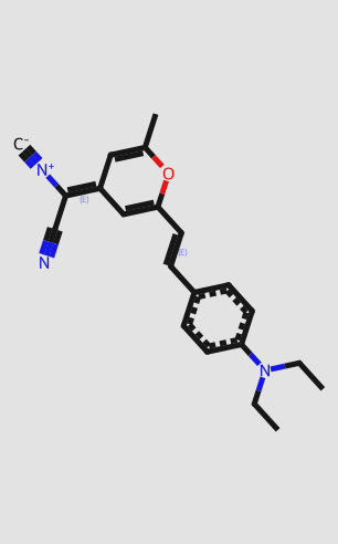 [C-]#[N+]/C(C#N)=C1\C=C(C)OC(/C=C/c2ccc(N(CC)CC)cc2)=C1